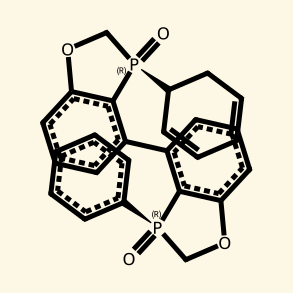 O=[P@@]1(c2ccccc2)COc2cccc(-c3cccc4c3[P@](=O)(C3C=CC=CC3)CO4)c21